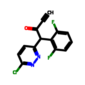 C#CC(=O)C(c1ccc(Cl)nn1)c1c(F)cccc1F